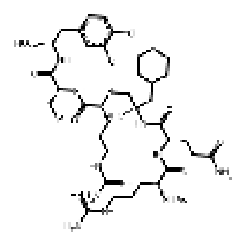 CC(=O)N[C@@H](CCCNC(=N)N)C(=O)N[C@@H](CCC(N)=O)C(=O)N[C@@](C=O)(CN[C@@H](CCCNC(=N)N)C(=O)N[C@@H](CC(C)C)C(=O)N[C@@H](Cc1ccc(Cl)c(Cl)c1)C(=O)O)CC1CCCCC1